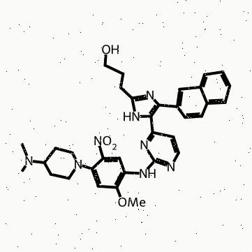 COc1cc(N2CCC(N(C)C)CC2)c([N+](=O)[O-])cc1Nc1nccc(-c2[nH]c(CCCO)nc2-c2ccc3ccccc3c2)n1